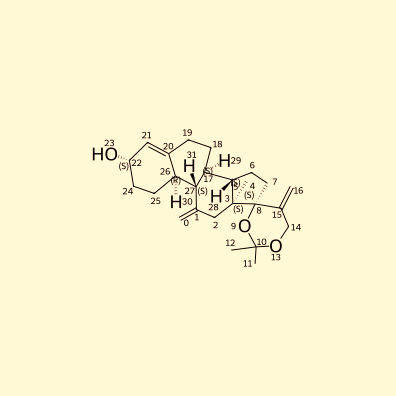 C=C1C[C@@]2(C)[C@@H](CC[C@]23OC(C)(C)OCC3=C)[C@@H]2CCC3=C[C@@H](O)CC[C@@H]3[C@@H]12